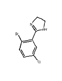 Clc1ccc(Br)c(C2=NCCN2)c1